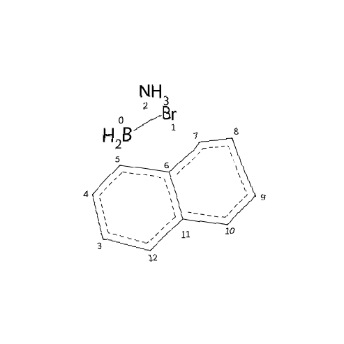 BBr.N.c1ccc2ccccc2c1